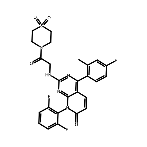 Cc1cc(F)ccc1-c1nc(NCC(=O)N2CCS(=O)(=O)CC2)nc2c1ccc(=O)n2-c1c(F)cccc1F